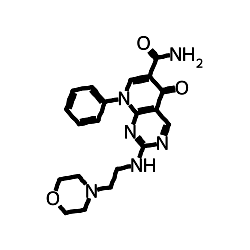 NC(=O)c1cn(-c2ccccc2)c2nc(NCCN3CCOCC3)ncc2c1=O